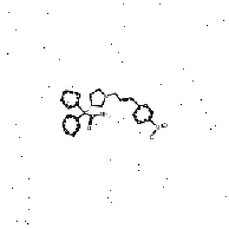 NC(=O)C(c1ccccc1)(c1ccccc1)[C@@H]1CCN(CC=Cc2ccc([N+](=O)[O-])cc2)C1